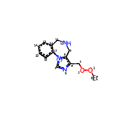 CCOOCc1ncn2c1CNCc1ccccc1-2